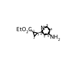 CCOC(=O)[C@@H]1C[C@@H]1c1cc(N)ccn1